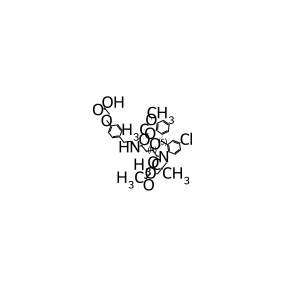 COc1cccc([C@H]2O[C@H](CC(=O)NCCc3ccc(OCC(=O)O)cc3)C(=O)N(CC(C)(C)COC(C)=O)c3ccc(Cl)cc32)c1OC